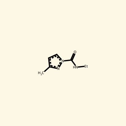 CCNC(=O)n1ccc(C)n1